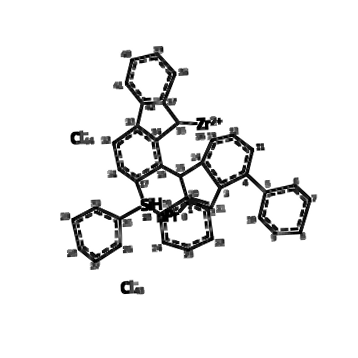 CCCC1=Cc2c(-c3ccccc3)cccc2C1c1c([SiH](c2ccccc2)c2ccccc2)ccc2c1[CH]([Zr+2])c1ccccc1-2.[Cl-].[Cl-]